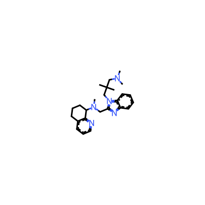 CN(C)CC(C)(C)Cn1c(CN(C)C2CCCc3cccnc32)nc2ccccc21